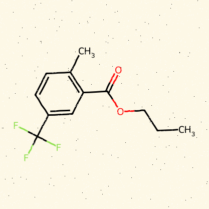 CCCOC(=O)c1cc(C(F)(F)F)ccc1C